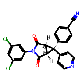 N#Cc1ccc([C@@]2(c3ccncc3)[C@@H]3C(=O)N(c4cc(Cl)cc(Cl)c4)C(=O)[C@@H]32)cc1